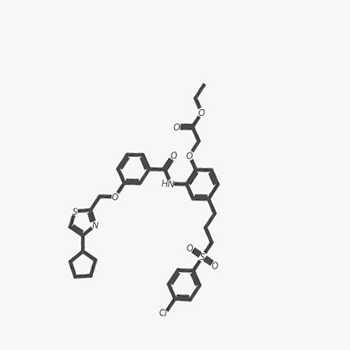 CCOC(=O)COc1ccc(CCCS(=O)(=O)c2ccc(Cl)cc2)cc1NC(=O)c1cccc(OCc2nc(C3CCCC3)cs2)c1